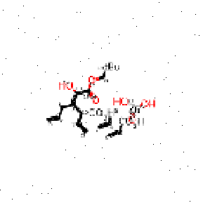 C=CC(=O)O.C=CC(=O)O.C=CCC(CC=C)=C(O)C(=O)OCC(C)(C)C.[O]=[Zr]([OH])[OH]